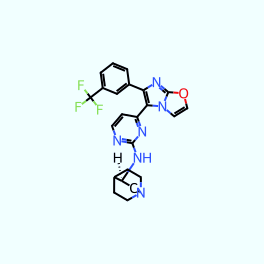 FC(F)(F)c1cccc(-c2nc3occn3c2-c2ccnc(N[C@H]3CN4CCC3CC4)n2)c1